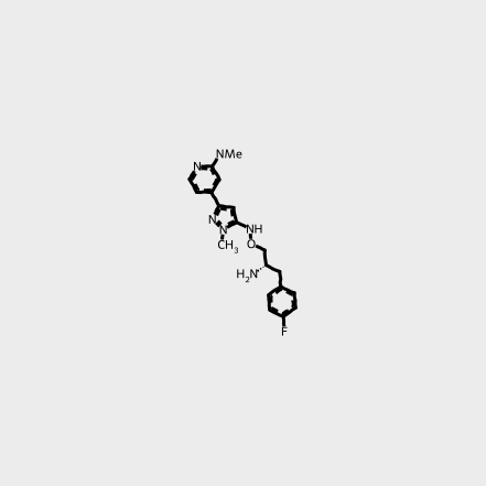 CNc1cc(-c2cc(NOC[C@@H](N)Cc3ccc(F)cc3)n(C)n2)ccn1